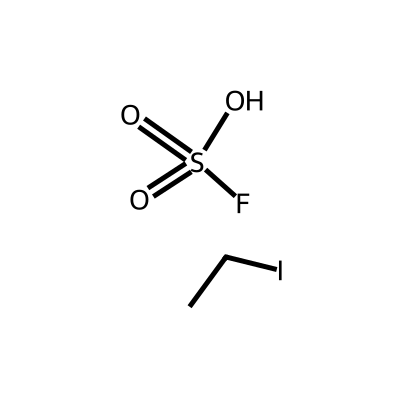 CCI.O=S(=O)(O)F